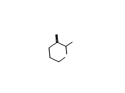 [N]C1NCCCC1=O